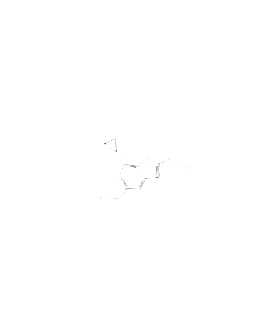 COc1cc(C2CC2)c2oc(CO)cc2c1